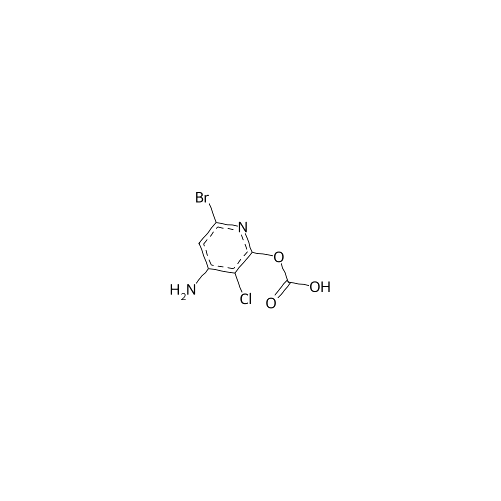 Nc1cc(Br)nc(OC(=O)O)c1Cl